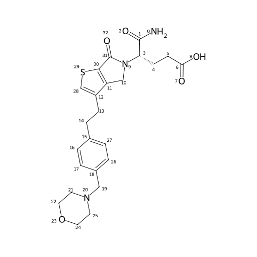 NC(=O)[C@H](CCC(=O)O)N1Cc2c(CCc3ccc(CN4CCOCC4)cc3)csc2C1=O